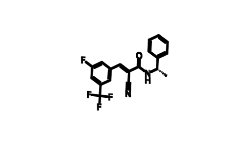 C[C@H](NC(=O)/C(C#N)=C/c1cc(F)cc(C(F)(F)F)c1)c1ccccc1